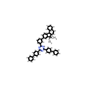 CC1(C)c2cc(-c3cccc(-c4nc(-c5ccc(-c6ccccc6)cc5)nc(-c5ccc(-c6ccccc6)cc5)n4)c3)ccc2-c2c1ccc1ccccc21